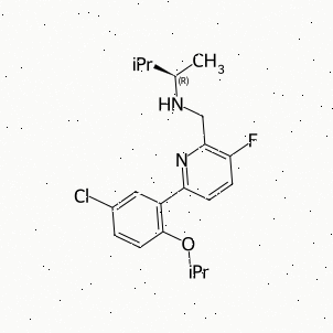 CC(C)Oc1ccc(Cl)cc1-c1ccc(F)c(CN[C@H](C)C(C)C)n1